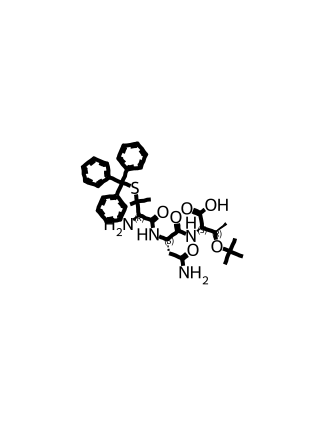 C[C@@H](OC(C)(C)C)[C@H](NC(=O)[C@H](CC(N)=O)NC(=O)[C@@H](N)C(C)(C)SC(c1ccccc1)(c1ccccc1)c1ccccc1)C(=O)O